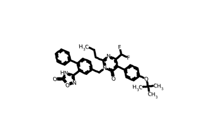 CCCc1nc(C(F)F)c(-c2ccc(OC(C)(C)C)cc2)c(=O)n1Cc1ccc(-c2ccccc2)c(-c2noc(=O)[nH]2)c1